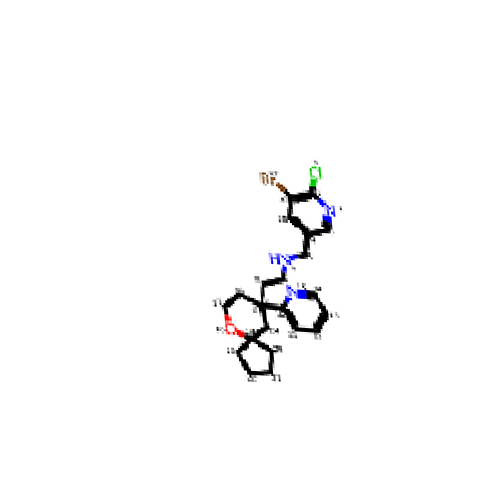 Clc1ncc(CNCC[C@]2(c3ccccn3)CCOC3(CCCC3)C2)cc1Br